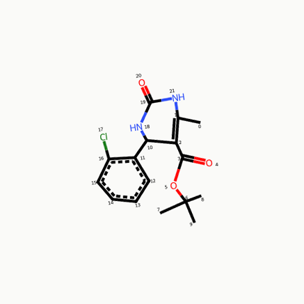 CC1=C(C(=O)OC(C)(C)C)C(c2ccccc2Cl)NC(=O)N1